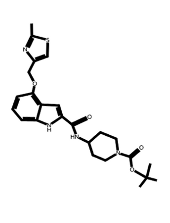 Cc1nc(COc2cccc3[nH]c(C(=O)NC4CCN(C(=O)OC(C)(C)C)CC4)cc23)cs1